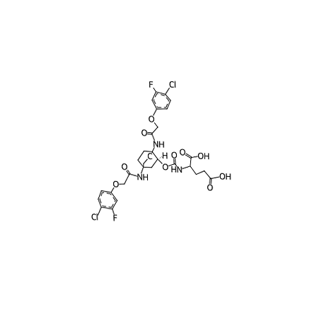 O=C(O)CCC(NC(=O)O[C@H]1CC2(NC(=O)COc3ccc(Cl)c(F)c3)CCC1(NC(=O)COc1ccc(Cl)c(F)c1)CC2)C(=O)O